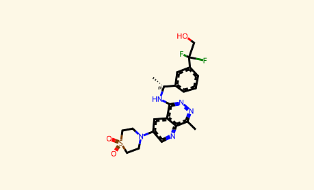 Cc1nnc(N[C@H](C)c2cccc(C(F)(F)CO)c2)c2cc(N3CCS(=O)(=O)CC3)cnc12